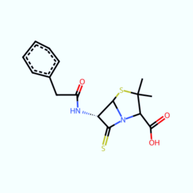 CC1(C)SC2[C@@H](NC(=O)Cc3ccccc3)C(=S)N2C1C(=O)O